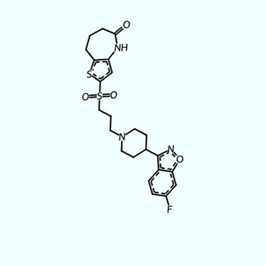 O=C1CCCc2sc(S(=O)(=O)CCCN3CCC(c4noc5cc(F)ccc45)CC3)cc2N1